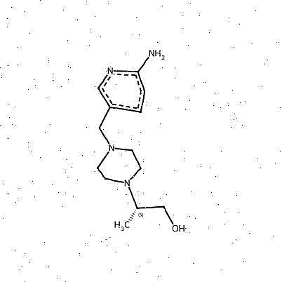 C[C@@H](CO)N1CCN(Cc2ccc(N)nc2)CC1